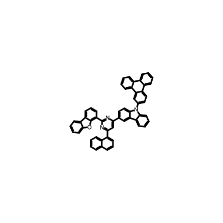 c1ccc2c(-c3cc(-c4ccc5c(c4)c4ccccc4n5-c4ccc5c6ccccc6c6ccccc6c5c4)nc(-c4cccc5c4oc4ccccc45)n3)cccc2c1